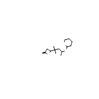 CC(CC(C)(C)C1CC(=O)O1)OC1CCCCO1